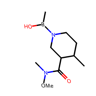 CON(C)C(=O)C1CN(B(C)O)CCC1C